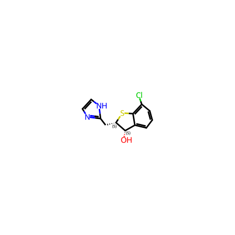 O[C@H]1c2cccc(Cl)c2S[C@H]1Cc1ncc[nH]1